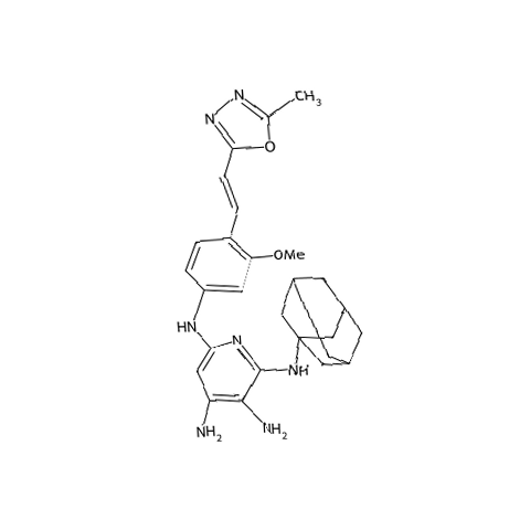 COc1cc(Nc2cc(N)c(N)c(NC34CC5CC(CC(C5)C3)C4)n2)ccc1/C=C/c1nnc(C)o1